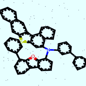 c1ccc(-c2cccc(N(c3cc4sc5cc6ccccc6cc5c4c4ccccc34)c3cccc4c3oc3c(-c5ccccc5)cccc34)c2)cc1